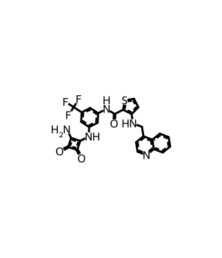 Nc1c(Nc2cc(NC(=O)c3sccc3NCc3ccnc4ccccc34)cc(C(F)(F)F)c2)c(=O)c1=O